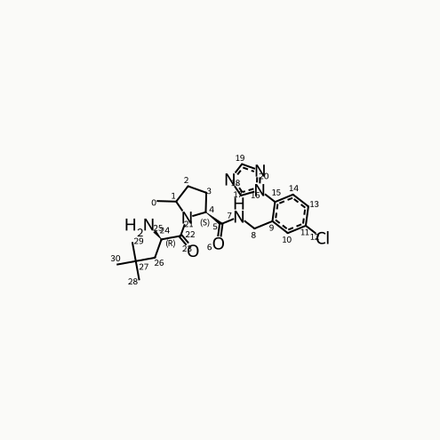 CC1CC[C@@H](C(=O)NCc2cc(Cl)ccc2-n2cncn2)N1C(=O)[C@H](N)CC(C)(C)C